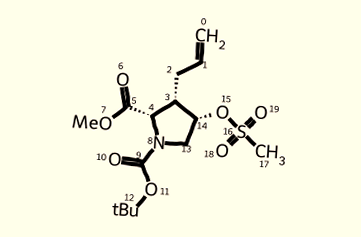 C=CC[C@H]1[C@@H](C(=O)OC)N(C(=O)OC(C)(C)C)C[C@H]1OS(C)(=O)=O